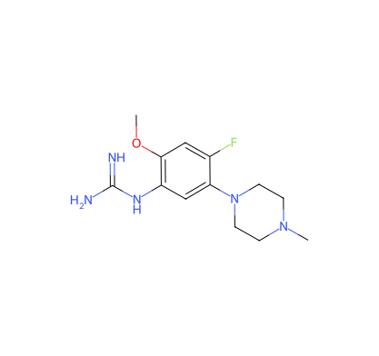 COc1cc(F)c(N2CCN(C)CC2)cc1NC(=N)N